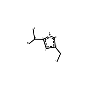 CCc1csc(C(C)C)c1